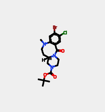 CN1CC[C@H]2CN(C(=O)OC(C)(C)C)CCN2C(=O)c2cc(Cl)c(Br)cc21